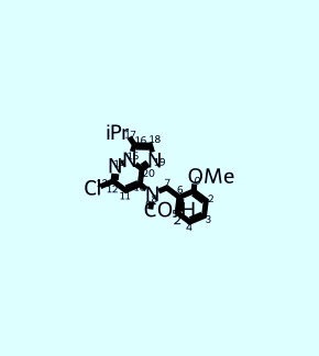 COc1ccccc1CN(C(=O)O)c1cc(Cl)nn2c(C(C)C)cnc12